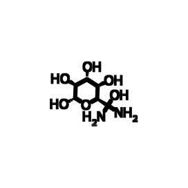 NC(N)(O)[C@H]1O[C@H](O)[C@@H](O)[C@H](O)[C@H]1O